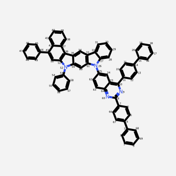 c1ccc(-c2ccc(-c3nc(-c4ccc(-c5ccccc5)cc4)c4cc(-n5c6ccccc6c6cc7c8c9ccccc9c(-c9ccccc9)cc8n(-c8ccccc8)c7cc65)ccc4n3)cc2)cc1